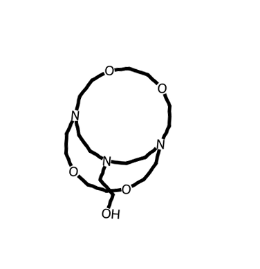 OCCN1CCN2CCOCCOCCN(CCOCCOCC2)CC1